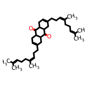 CC(C)=CCCC(C)=CCCC1=CCC2C(=O)C3CC=C(CCC=C(C)CCC=C(C)C)CC3C(=O)C2C1